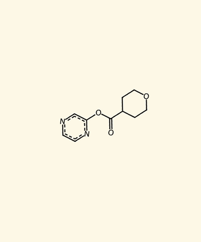 O=C(Oc1cnccn1)C1CCOCC1